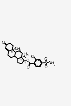 C[C@]12CCC(=O)C=C1CCC1C2CC[C@@]2(C)C1CC[C@@H]2OC(=O)c1ccc(S(N)(=O)=O)cc1Cl